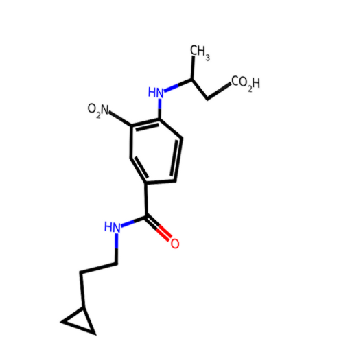 CC(CC(=O)O)Nc1ccc(C(=O)NCCC2CC2)cc1[N+](=O)[O-]